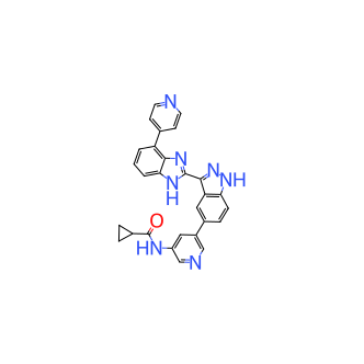 O=C(Nc1cncc(-c2ccc3[nH]nc(-c4nc5c(-c6ccncc6)cccc5[nH]4)c3c2)c1)C1CC1